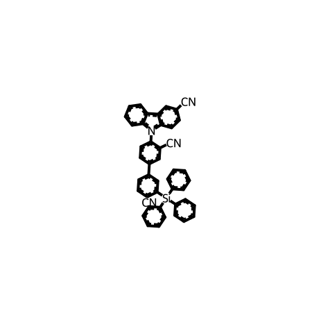 N#Cc1ccc2c(c1)c1ccccc1n2-c1ccc(-c2ccc(C#N)c([Si](c3ccccc3)(c3ccccc3)c3ccccc3)c2)cc1C#N